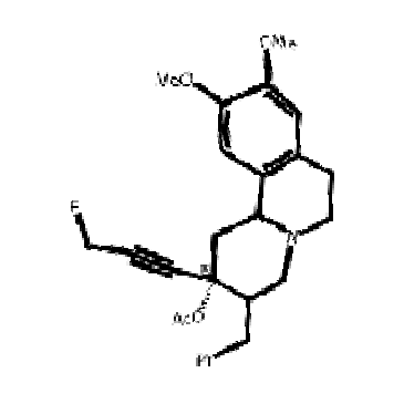 COc1cc2c(cc1OC)C1C[C@@](C#CCF)(OC(C)=O)C(CC(C)C)CN1CC2